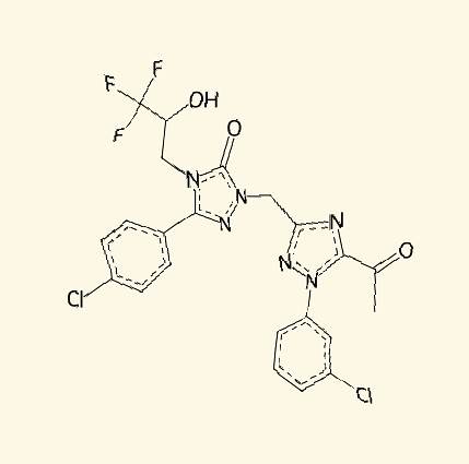 CC(=O)c1nc(Cn2nc(-c3ccc(Cl)cc3)n(CC(O)C(F)(F)F)c2=O)nn1-c1cccc(Cl)c1